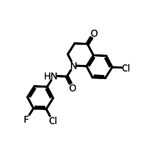 O=C1CCN(C(=O)Nc2ccc(F)c(Cl)c2)c2ccc(Cl)cc21